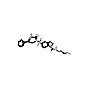 CCCCNC(=S)N1CCc2cc(S(=O)(=O)N3CC(c4ccccc4)NC3=O)ccc21